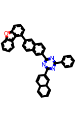 C1=CC2C=CC(c3nc(-c4ccccc4)nc(-c4ccc5cc(-c6cccc7oc8ccccc8c67)ccc5c4)n3)=CC2C=C1